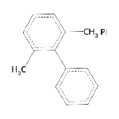 Cc1cccc(C)c1-c1ccccc1.[P]